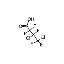 O=C(O)C(F)(F)C(F)(Cl)C(F)(F)Cl